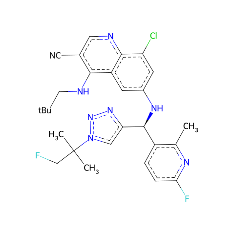 Cc1nc(F)ccc1[C@H](Nc1cc(Cl)c2ncc(C#N)c(NCC(C)(C)C)c2c1)c1cn(C(C)(C)CF)nn1